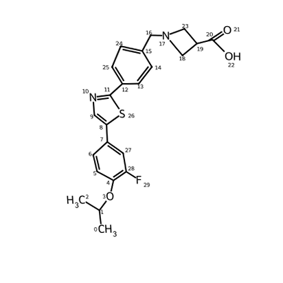 CC(C)Oc1ccc(-c2cnc(-c3ccc(CN4CC(C(=O)O)C4)cc3)s2)cc1F